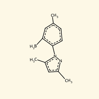 Bc1cc(C)ccc1-n1nc(C)cc1C